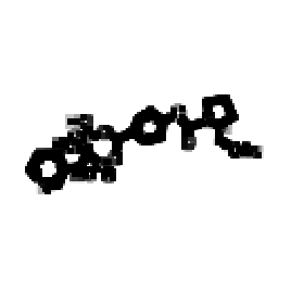 CC(=O)OC[C@@H]1CCCN1C(=O)Oc1ccc(C2OP(=O)(O)C(O)(Cc3cccnc3)P(=O)(O)O2)cc1